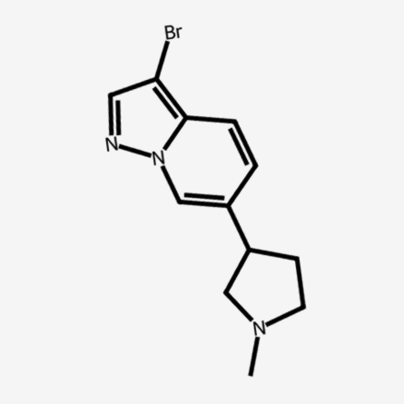 CN1CCC(c2ccc3c(Br)cnn3c2)C1